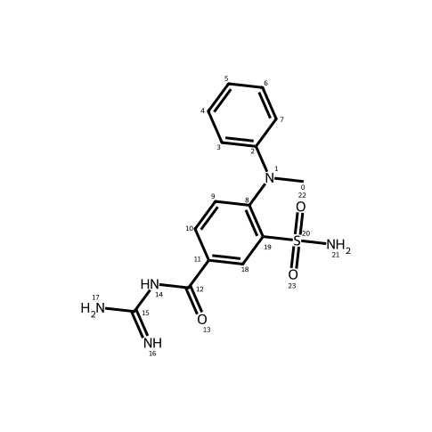 CN(c1ccccc1)c1ccc(C(=O)NC(=N)N)cc1S(N)(=O)=O